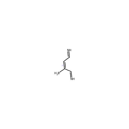 B/C(C=N)=C/C=N